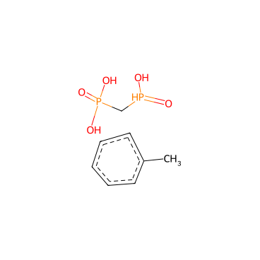 Cc1ccccc1.O=[PH](O)CP(=O)(O)O